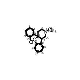 CN1CCC2(c3ccccc3Cl)Oc3ccccc3C2C1.Cl